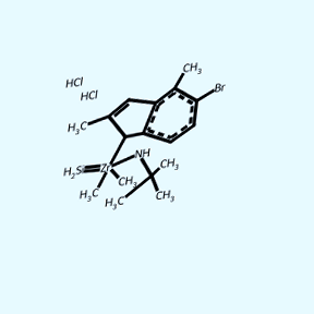 CC1=Cc2c(ccc(Br)c2C)[CH]1[Zr]([CH3])([CH3])(=[SiH2])[NH]C(C)(C)C.Cl.Cl